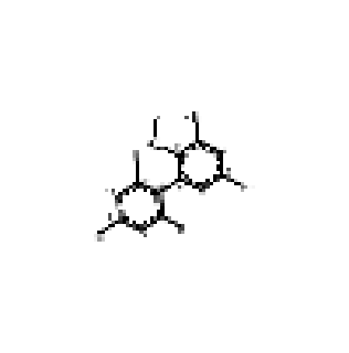 COc1c(Br)cc(F)cc1-c1c(C)cc(C)cc1C